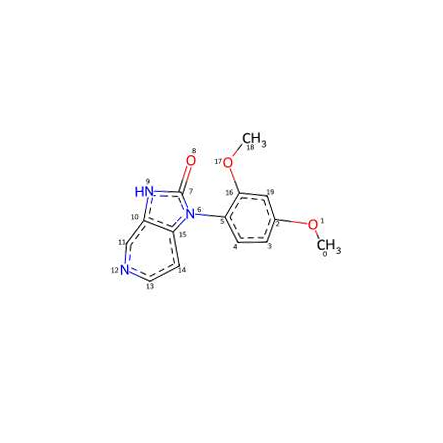 COc1ccc(-n2c(=O)[nH]c3cnccc32)c(OC)c1